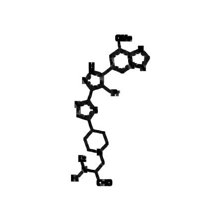 CCN(CC)C(C=O)CN1CCC(c2cnc(-c3n[nH]c(-c4cc(OC)c5ncnn5c4)c3C(C)C)s2)CC1